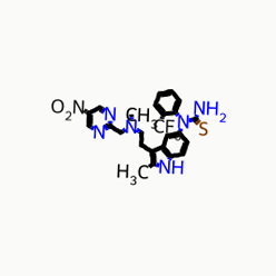 Cc1[nH]c2ccc(N(C(N)=S)c3ccccc3C(F)(F)F)cc2c1CCN(C)Cc1ncc([N+](=O)[O-])cn1